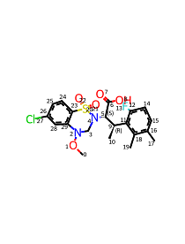 CON1CN([C@H](C(=O)O)[C@H](C)c2c(F)ccc(C)c2C)S(=O)(=O)c2ccc(Cl)cc21